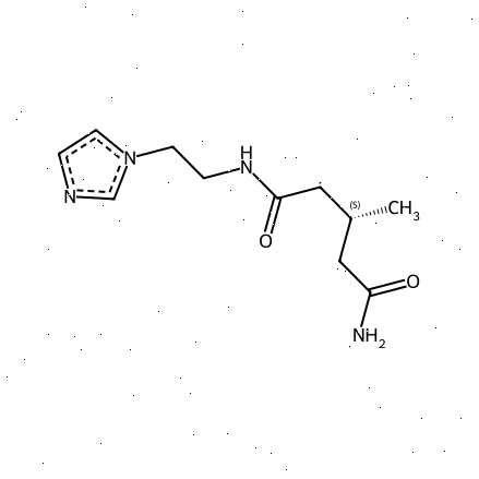 C[C@@H]([CH]C(=O)NCCn1ccnc1)CC(N)=O